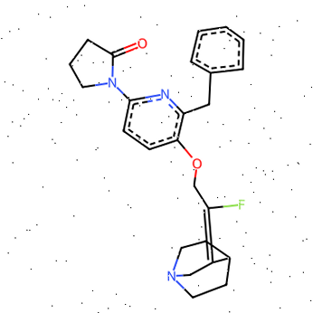 O=C1CCCN1c1ccc(OC/C(F)=C2\CN3CCC2CC3)c(Cc2ccccc2)n1